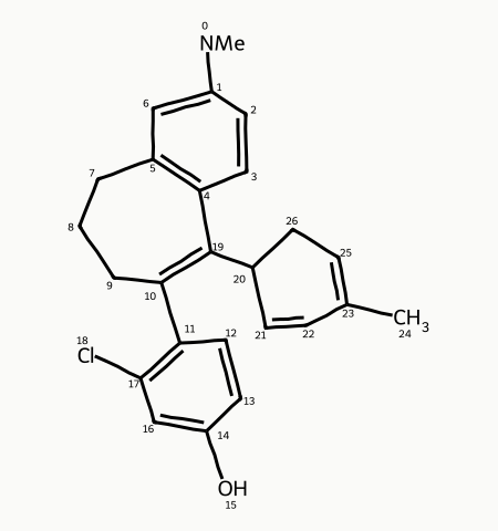 CNc1ccc2c(c1)CCCC(c1ccc(O)cc1Cl)=C2C1C=CC(C)=CC1